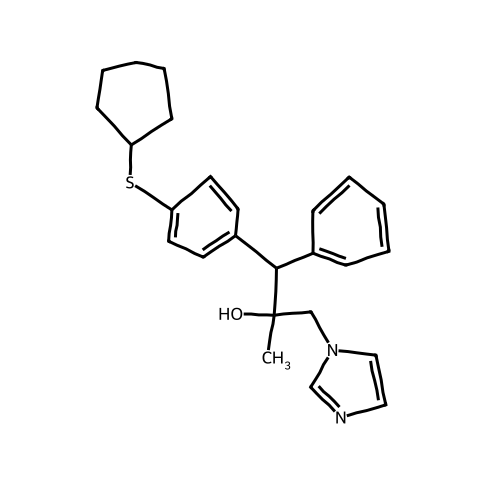 CC(O)(Cn1ccnc1)C(c1ccccc1)c1ccc(SC2CCCCC2)cc1